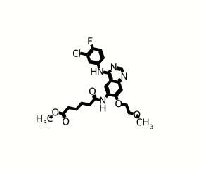 COCCOc1cc2ncnc(Nc3ccc(F)c(Cl)c3)c2cc1NC(=O)CCCCC(=O)OC